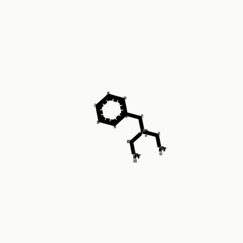 CC(C)C[N+](Cc1ccccc1)CC(C)C